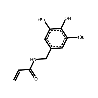 C=CC(=O)NCc1cc(C(C)(C)C)c(O)c(C(C)(C)C)c1